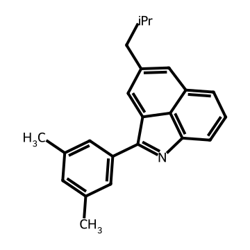 Cc1cc(C)cc(C2=Nc3cccc4cc(CC(C)C)cc2c34)c1